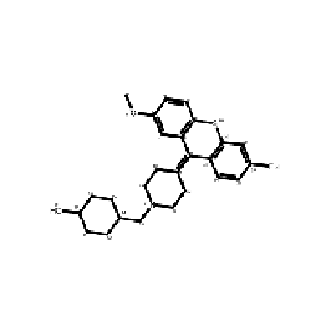 COc1ccc2c(c1)C(=C1CCN(CC3CCC(O)CC3)CC1)c1ccc(F)cc1S2